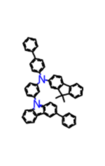 CC1(C)c2ccccc2-c2ccc(N(c3ccc(-c4ccccc4)cc3)c3cccc(-n4c5ccccc5c5cc(-c6ccccc6)ccc54)c3)cc21